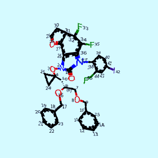 O=c1n(OC2(C[C@H](COCc3ccccc3)OCc3ccccc3)CC2)c2c3occc3c(F)c(F)c2n1-c1ccc(I)cc1F